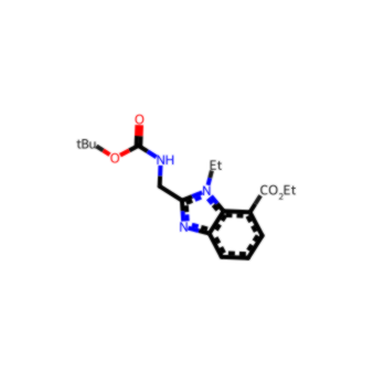 CCOC(=O)c1cccc2nc(CNC(=O)OC(C)(C)C)n(CC)c12